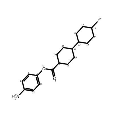 Nc1ccc(OC(=O)C2CCC(C3CCC(I)CC3)CC2)cc1